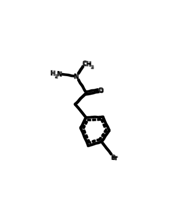 CN(N)C(=O)Cc1ccc(Br)cc1